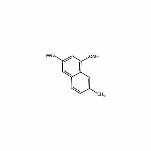 COc1cc(SC)cc2ccc(C)cc12